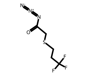 [N-]=[N+]=NC(=O)CSCCC(F)(F)F